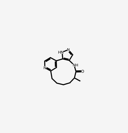 CC1CCCCc2cc(ccn2)-c2[nH]ncc2NC1=O